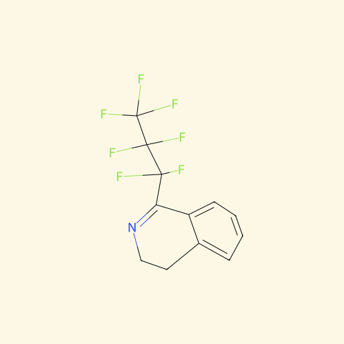 FC(F)(F)C(F)(F)C(F)(F)C1=NCCc2ccccc21